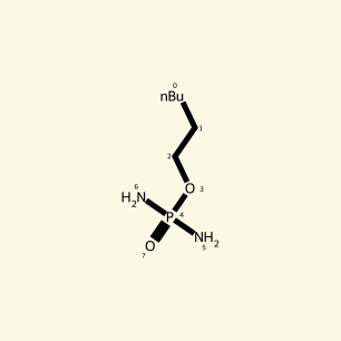 CCCCCCOP(N)(N)=O